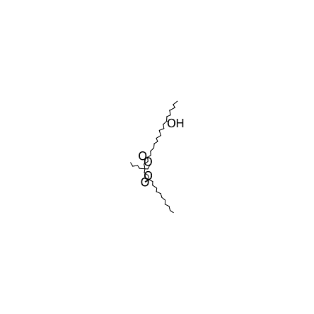 CCCCCCCCCCCC(=O)OCC(CC)(CCCC)COC(=O)CCCCCCCCCCC(O)CCCCCC